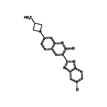 O=C(O)C1CN(c2ccc3cc(-c4nc5cc(Cl)ccc5o4)c(=O)oc3c2)C1